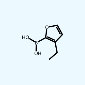 CCc1ccoc1B(O)O